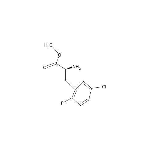 COC(=O)[C@@H](N)Cc1cc(Cl)ccc1F